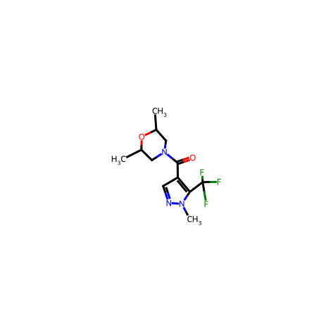 CC1CN(C(=O)c2cnn(C)c2C(F)(F)F)CC(C)O1